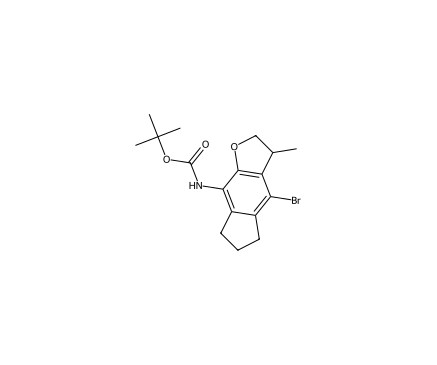 CC1COc2c(NC(=O)OC(C)(C)C)c3c(c(Br)c21)CCC3